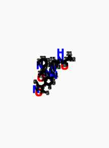 Cc1noc(C)c1-c1ccc2nc(N3CC[C@@H](NC(=O)C4CC4)C3)n3c2c1OC[C@@H]3c1ccccn1